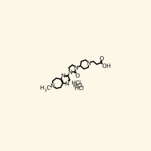 CN1CCc2ncc(N3CCN(C4CCN(CCC(=O)O)CC4)C3=O)nc2CC1.Cl.Cl.Cl